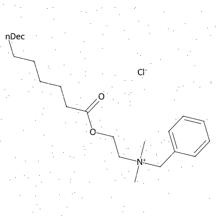 CCCCCCCCCCCCCCCC(=O)OCC[N+](C)(C)Cc1ccccc1.[Cl-]